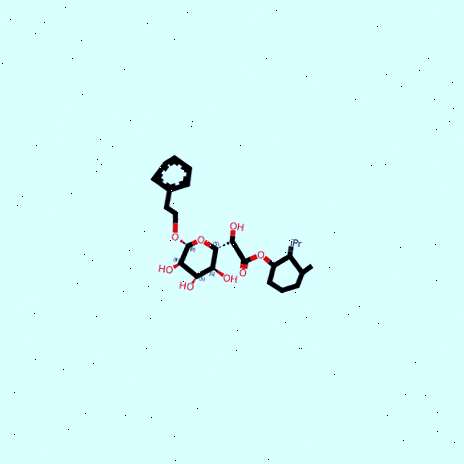 CC(C)C1C(C)CCCC1OC(=O)C(O)[C@H]1O[C@@H](OCCc2ccccc2)[C@H](O)[C@@H](O)[C@@H]1O